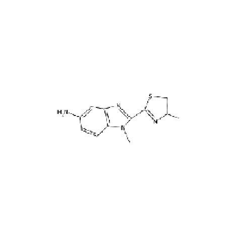 CC1CSC(c2nc3cc(N)ccc3n2C)=N1